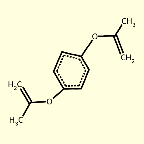 C=C(C)Oc1ccc(OC(=C)C)cc1